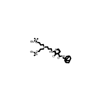 CC(C)(C)[Si](C)(C)OCCCN(CCCNc1nccc(C(=O)NCC23CC4CC(CC(C4)C2)C3)c1Cl)CCCO[Si](C)(C)C(C)(C)C